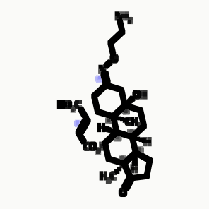 C[C@]12CC[C@H]3[C@@H](CC[C@@]4(O)C/C(=N\OCCN)CC[C@]34C)[C@@H]1CCC2=O.O=C(O)/C=C/C(=O)O